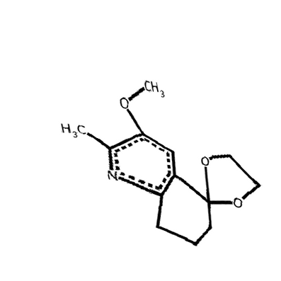 COc1cc2c(nc1C)CCCC21OCCO1